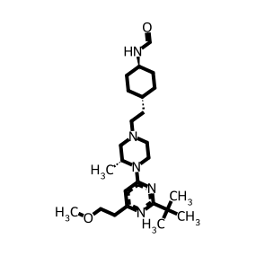 COCCc1cc(N2CCN(CC[C@H]3CC[C@H](NC=O)CC3)C[C@H]2C)nc(C(C)(C)C)n1